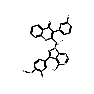 CC(C)Oc1ccc(-c2nn([C@@H](C)c3oc4ccccc4c(=O)c3-c3cccc(F)c3)c3ncnc(N)c23)cc1F